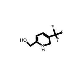 OCC1=CC=C(C(F)(F)F)CN1